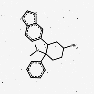 CN(C)C1(c2ccccc2)CCC(N)CC1c1ccc2ncsc2c1